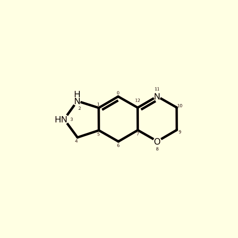 C1=C2NNCC2CC2OCCN=C12